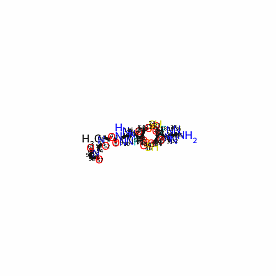 CN(CCOC(=O)Nc1ncnc2c1ncn2[C@@H]1O[C@@H]2CO[P@@](=O)(S)O[C@H]3[C@@H](F)[C@H](n4cnc5c(N)ncnc54)O[C@@H]3CO[P@@](=O)(S)O[C@H]2[C@H]1F)C(=O)CCN1C(=O)C=CC1=O